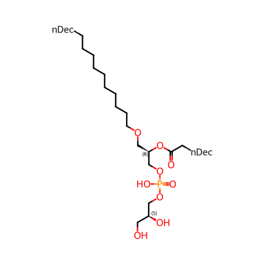 CCCCCCCCCCCCCCCCCCCCOC[C@H](COP(=O)(O)OC[C@@H](O)CO)OC(=O)CCCCCCCCCCC